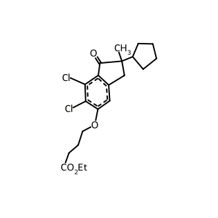 CCOC(=O)CCCOc1cc2c(c(Cl)c1Cl)C(=O)C(C)(C1CCCC1)C2